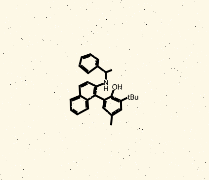 Cc1cc(-c2c(NC(C)c3ccccc3)ccc3ccccc23)c(O)c(C(C)(C)C)c1